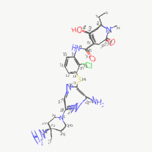 CCC1C(O)=C(C(=O)Nc2cccc(Sc3ncc(N4CCC(C)(N)CC4)nc3N)c2Cl)C(=O)N1C